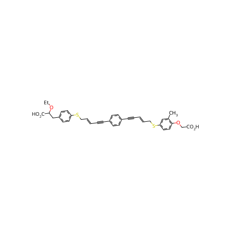 CCOC(Cc1ccc(SC/C=C/C#Cc2ccc(C#C/C=C/CSc3ccc(OCC(=O)O)c(C)c3)cc2)cc1)C(=O)O